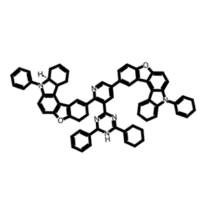 C1=CC(n2c3c(c4c5c(ccc42)oc2ccc(-c4cnc(C6=Cc7c(oc8ccc9c(c78)C7CC=CC[C@@H]7N9c7ccccc7)CC6)c(C6=NC(c7ccccc7)NC(C7=CCCCC7)=N6)c4)cc25)=CCCC=3)=CCC1